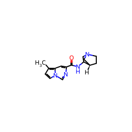 Cc1ccn2cnc(C(=O)NC3CN4CC[C@H]3C4)cc12